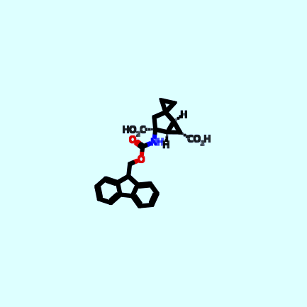 O=C(N[C@@]1(C(=O)O)CC2(CC2)[C@H]2[C@H](C(=O)O)[C@H]21)OCC1c2ccccc2-c2ccccc21